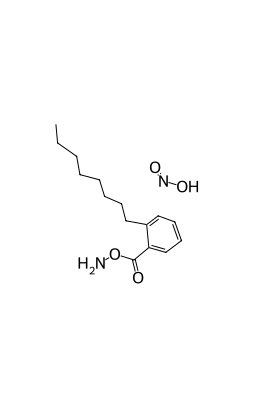 CCCCCCCCc1ccccc1C(=O)ON.O=NO